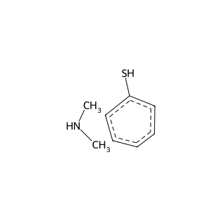 CNC.Sc1ccccc1